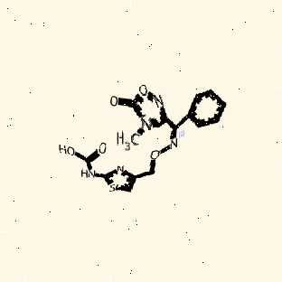 Cn1c(/C(=N\OCc2csc(NC(=O)O)n2)c2ccccc2)noc1=O